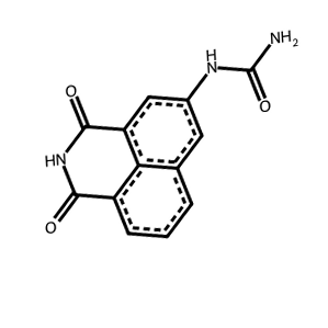 NC(=O)Nc1cc2c3c(cccc3c1)C(=O)NC2=O